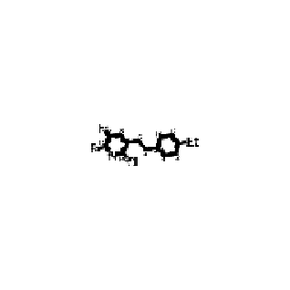 CCc1ccc(CCc2cc(F)c(F)nc2Cl)cc1